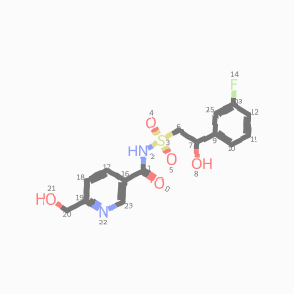 O=C(NS(=O)(=O)CC(O)c1cccc(F)c1)c1ccc(CO)nc1